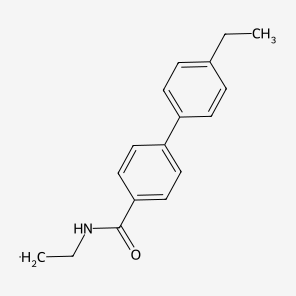 [CH2]CNC(=O)c1ccc(-c2ccc(CC)cc2)cc1